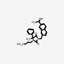 CC1(c2ccccc2)C(=O)N(Cc2ccc3ccc(C(=N)N)cc3c2)C(=O)N1CCCC(=O)O